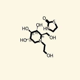 O=C1NCCS1.OCCN1C[C@H](O)[C@@H](O)[C@H](O)[C@H]1CO